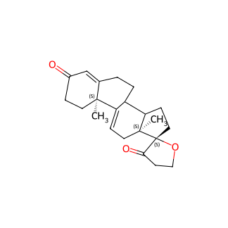 C[C@]12CCC(=O)C=C1CCC1C2=CC[C@@]2(C)C1CC[C@]21OCCC1=O